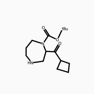 CC(C)(C)OC(=O)N1CCCNCC1C(=O)C1CCC1